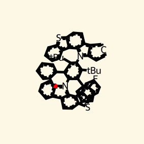 CC(C)(C)c1c(-c2ccccc2F)c(-n2c3ccccc3c3ccc4sc5ccccc5c4c32)c(-c2ccccc2F)c(C(C)(C)C)c1-n1c2ccccc2c2ccc3sc4ccccc4c3c21